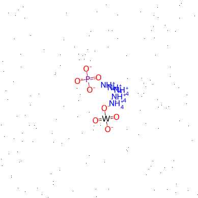 O=P([O-])([O-])[O-].[NH4+].[NH4+].[NH4+].[NH4+].[NH4+].[O]=[W](=[O])([O-])[O-]